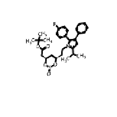 CC(C)c1cc(-c2ccccc2)c(-c2ccc(F)cc2)n1CC[C@@H]1C[C@H](CC(=O)OC(C)(C)C)OS(=O)O1